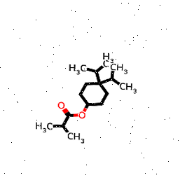 CC(C)C(=O)OC1CCC(C(C)C)(C(C)C)CC1